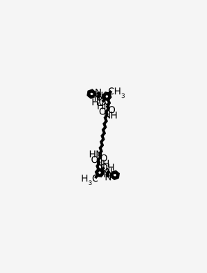 Cc1cc(CNC(=O)C(=O)NCCCCCCCCCCCCNC(=O)C(=O)NCc2cc(C)cc(-n3nc4ccccc4n3)c2O)c(O)c(-n2nc3ccccc3n2)c1